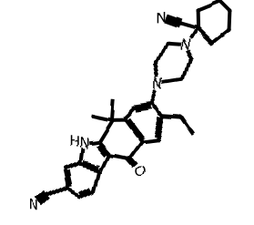 CCc1cc2c(cc1N1CCN(C3(C#N)CCCCC3)CC1)C(C)(C)c1[nH]c3cc(C#N)ccc3c1C2=O